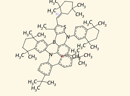 C=Cc1c(/C=C2\CC(C)(C)CCC2(C)C)sc2c1B1c3cc4c(cc3N(c3ccc(C(C)(C)C)cc3-c3ccc(C(C)(C)C)cc3)c3cc(C)cc(c31)N2c1ccc2c(c1)C(C)(C)CCC2(C)C)C(C)(C)CCC4(C)C